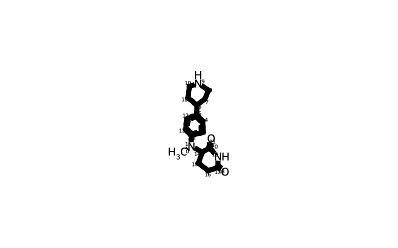 CN(c1ccc(C2CCNCC2)cc1)C1CCC(=O)NC1=O